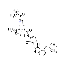 CC(C)Cc1cccc2nc(Cn3cccc(NC(=O)C(CC/C=C/C(=O)N(C)C)OC(=O)N(C)C)c3=O)[nH]c12